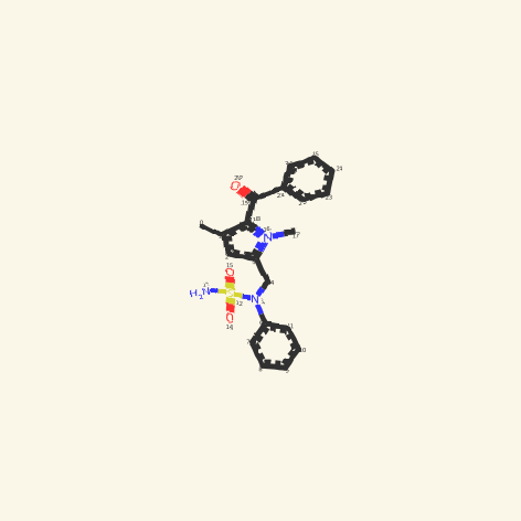 Cc1cc(CN(c2ccccc2)S(N)(=O)=O)n(C)c1C(=O)c1ccccc1